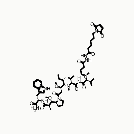 CC[C@H](C)[C@@H]([C@@H](CC(=O)N1CCC[C@H]1[C@H](OC)[C@@H](C)C(=O)N[C@@H](Cc1c[nH]c2ccccc12)C(N)=O)OC)N(C)[C@H](C(=O)NC(=O)[C@H](C(C)C)N(C)CCCC(=O)NNC(=O)CCCCCN1C(=O)C=CC1=O)C(C)C